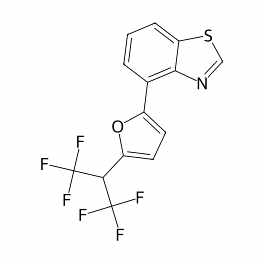 FC(F)(F)C(c1ccc(-c2cccc3scnc23)o1)C(F)(F)F